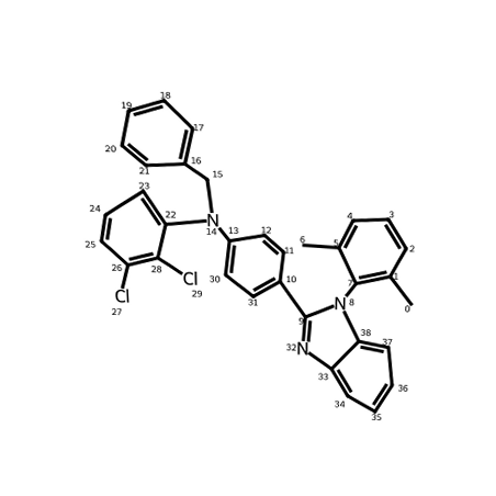 Cc1cccc(C)c1-n1c(-c2ccc(N(Cc3ccccc3)c3cccc(Cl)c3Cl)cc2)nc2ccccc21